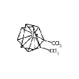 ClC(Cl)(Cl)[C]12[CH]3[CH]4[CH]5[CH]1[Fe]45321678[CH]2[CH]1[CH]6[C]7(C(Cl)(Cl)Cl)[CH]28